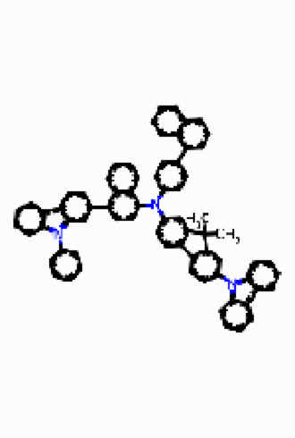 CC1(C)c2cc(N(c3ccc(-c4cccc5ccccc45)cc3)c3ccc(-c4ccc5c6ccccc6n(-c6ccccc6)c5c4)c4ccccc34)ccc2-c2ccc(-n3c4ccccc4c4ccccc43)cc21